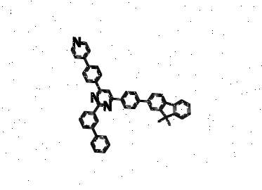 CC1(C)c2ccccc2-c2ccc(-c3ccc(-c4cc(-c5ccc(-c6ccncc6)cc5)nc(-c5cccc(-c6ccccc6)c5)n4)cc3)cc21